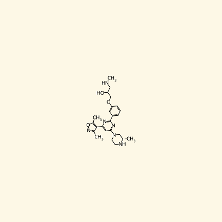 CNCC(O)COc1cccc(-c2nc(-c3c(C)noc3C)cc(N3CCN[C@@H](C)C3)n2)c1